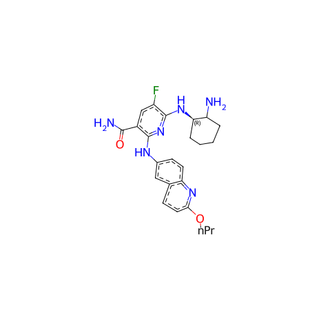 CCCOc1ccc2cc(Nc3nc(N[C@@H]4CCCCC4N)c(F)cc3C(N)=O)ccc2n1